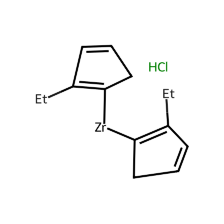 CCC1=[C]([Zr][C]2=C(CC)C=CC2)CC=C1.Cl